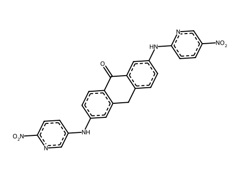 O=C1c2ccc(Nc3ccc([N+](=O)[O-])nc3)cc2Cc2ccc(Nc3ccc([N+](=O)[O-])cn3)cc21